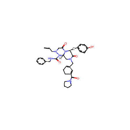 C=CCN1CC(=O)N2[C@@H](Cc3ccc(O)cc3)C(=O)N(CC3=CCCC(C(=O)N4CCCC4)=C3)C[C@@H]2N1C(=O)NCc1ccccc1